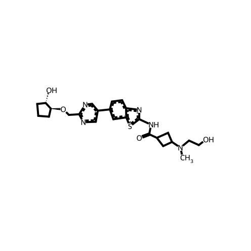 CN(CCO)C1CC(C(=O)Nc2nc3ccc(-c4cnc(CO[C@H]5CCC[C@@H]5O)nc4)cc3s2)C1